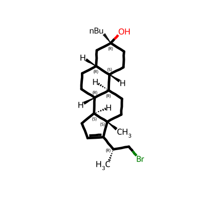 CCCC[C@@]1(O)CC[C@H]2[C@H](CC[C@@H]3[C@@H]2CC[C@]2(C)C([C@@H](C)CBr)=CC[C@@H]32)C1